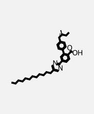 CCCCCCCCCCCCc1cnc(-c2ccc(C(=O)O)c(-c3ccc(C[C@@H](C)CC)cc3)c2)nc1